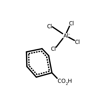 O=C(O)c1ccccc1.[Cl][Al-]([Cl])([Cl])[Cl]